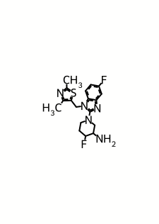 Cc1nc(C)c(Cn2c(N3CCC(F)C(N)C3)nc3cc(F)ccc32)s1